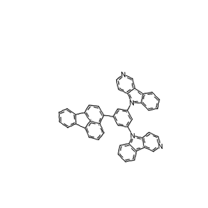 c1ccc2c(c1)-c1cccc3c(-c4cc(-n5c6ccccc6c6cnccc65)cc(-n5c6ccccc6c6cnccc65)c4)ccc-2c13